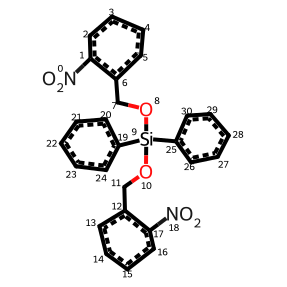 O=[N+]([O-])c1ccccc1CO[Si](OCc1ccccc1[N+](=O)[O-])(c1ccccc1)c1ccccc1